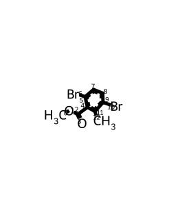 COC(=O)c1c(Br)ccc(Br)c1C